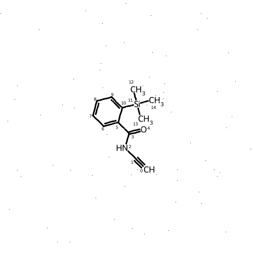 C#CNC(=O)c1ccccc1[Si](C)(C)C